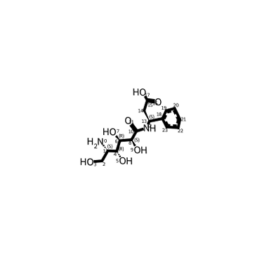 N[C@@H](CO)[C@@H](O)[C@@H](O)[C@H](O)C(=O)N[C@@H](CC(=O)O)c1ccccc1